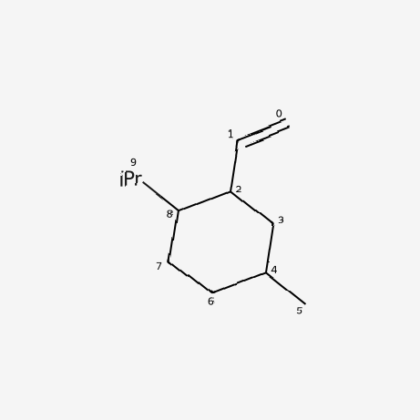 C=CC1CC(C)CCC1C(C)C